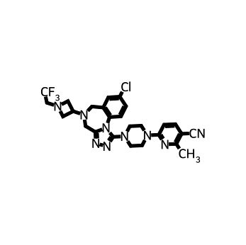 Cc1nc(N2CCN(c3nnc4n3-c3ccc(Cl)cc3CN(C3CN(CC(F)(F)F)C3)C4)CC2)ccc1C#N